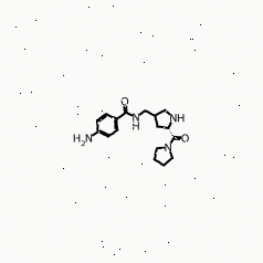 Nc1ccc(C(=O)NCC2CN[C@H](C(=O)N3CCCC3)C2)cc1